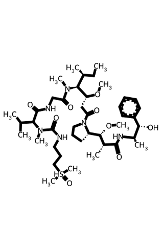 CC[C@H](C)[C@@H]([C@@H](CC(=O)N1CCC[C@H]1[C@H](OC)[C@@H](C)C(=O)N[C@H](C)[C@@H](O)c1ccccc1)OC)N(C)C(=O)CNC(=O)C(C(C)C)N(C)C(=O)NCCC[SH](C)(C)=O